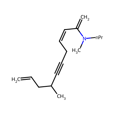 C=CCC(C)C#CC/C=C\C(=C)N(C)CCC